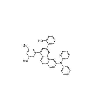 CC(C)(C)c1cc(-c2cc(-c3ccccc3O)nc3c2ccc2ccc(N(c4ccccc4)c4ccccn4)cc23)cc(C(C)(C)C)c1